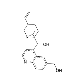 C=CC1CN2CCC1CC2[C@H](O)c1ccnc2ccc(CO)cc12